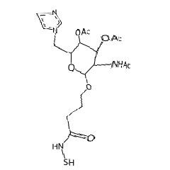 CC(=O)NC1C(OCCCC(=O)NS)OC(Cn2ccnc2)C(OC(C)=O)C1OC(C)=O